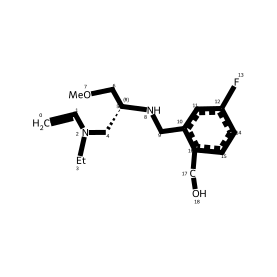 C=CN(CC)C[C@H](COC)NCc1cc(F)ccc1CO